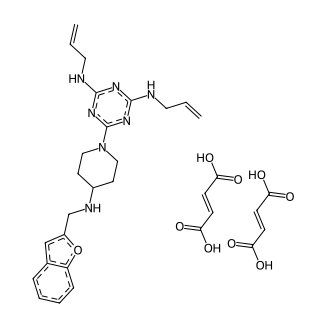 C=CCNc1nc(NCC=C)nc(N2CCC(NCc3cc4ccccc4o3)CC2)n1.O=C(O)C=CC(=O)O.O=C(O)C=CC(=O)O